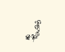 COC(=O)C[C@@H]1COc2cc(O[C@@H]3CCc4c(-c5ccc(-c6nnc(C)o6)cc5)c(C(F)(F)F)cc(F)c43)ccc21